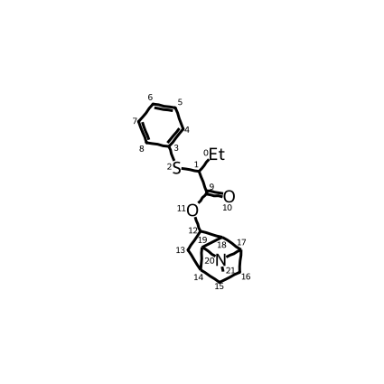 CCC(Sc1ccccc1)C(=O)OC1CC2CCC3C1C2N3C